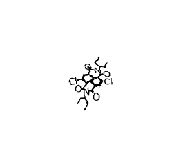 CCC(CC)N1C(=O)c2cc(Cl)c3c4c(cc(Cl)c(c24)C1=O)C(=O)N(C(CC)CC)C3=O